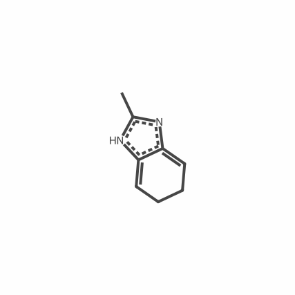 Cc1nc2c([nH]1)=CCCC=2